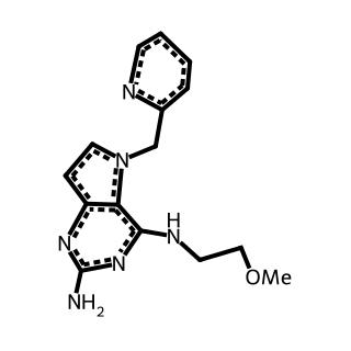 COCCNc1nc(N)nc2ccn(Cc3ccccn3)c12